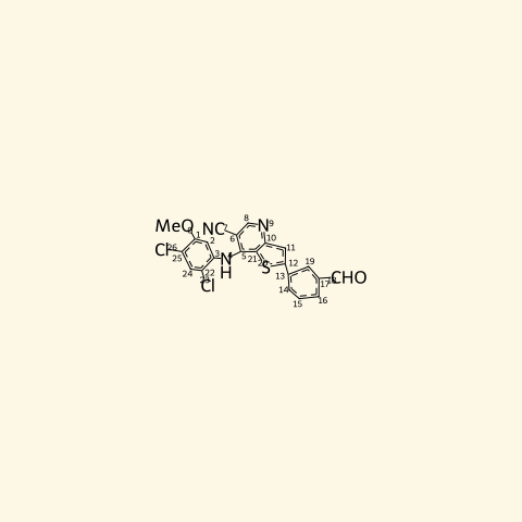 COc1cc(Nc2c(C#N)cnc3cc(-c4cccc(C=O)c4)sc23)c(Cl)cc1Cl